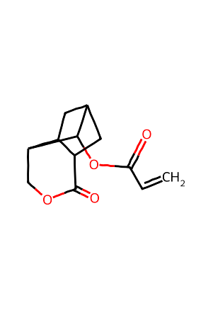 C=CC(=O)OC1C2CC3C(=O)OCC1C3C2